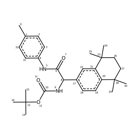 Cc1ccc(NC(=O)C(NC(=O)OC(C)(C)C)c2ccc3c(c2)C(C)(C)CCC3(C)C)cc1